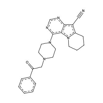 N#Cc1c2n(c3c(N4CCN(CC(=O)c5ccccc5)CC4)ncnc13)CCCC2